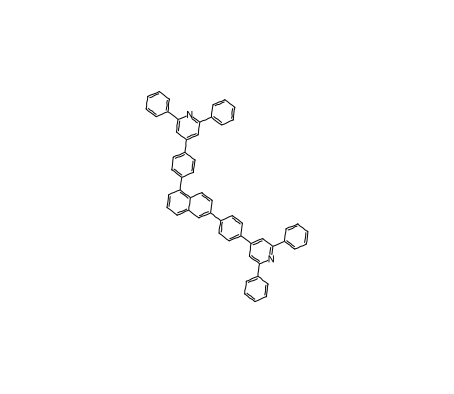 c1ccc(-c2cc(-c3ccc(-c4ccc5c(-c6ccc(-c7cc(-c8ccccc8)nc(-c8ccccc8)c7)cc6)cccc5c4)cc3)cc(-c3ccccc3)n2)cc1